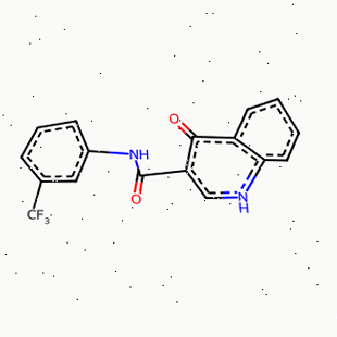 O=C(Nc1cccc(C(F)(F)F)c1)c1c[nH]c2ccccc2c1=O